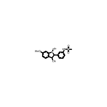 CCCN1c2cc(OC)ccc2C(C#N)C1c1cccc(NS(C)(=O)=O)c1